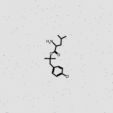 CC(C)CC(N)C(=O)OC(C)(C)Cc1ccc(Cl)cc1